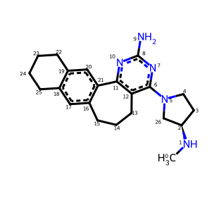 CN[C@@H]1CCN(c2nc(N)nc3c2CCCc2cc4c(cc2-3)CCCC4)C1